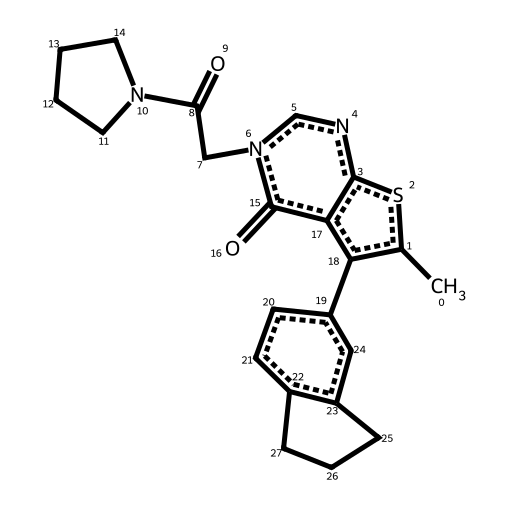 Cc1sc2ncn(CC(=O)N3CCCC3)c(=O)c2c1-c1ccc2c(c1)CCC2